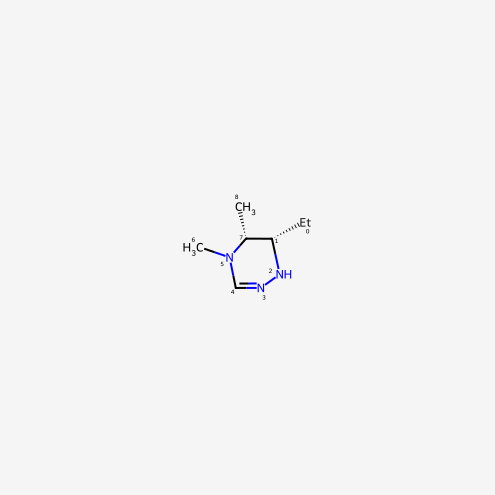 CC[C@@H]1NN=CN(C)[C@@H]1C